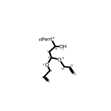 C=CCOC(CC(O)CCCCC)OCC=C